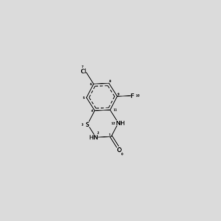 O=C1NSc2cc(Cl)cc(F)c2N1